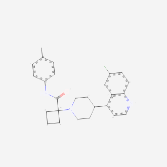 O=C(Nc1ccc(C(F)(F)F)cc1)C1(N2CCC(c3ccnc4ccc(F)cc34)CC2)CCC1